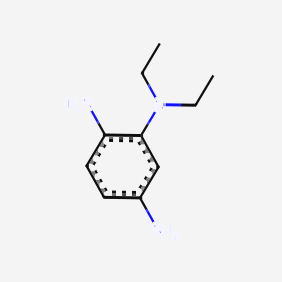 CCN(CC)c1cc(N)ccc1N